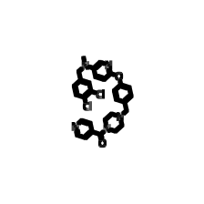 CN(Cc1ccc(Cl)c(Cl)c1)c1ccc(Oc2ccc(CN3CCN(C(=O)c4ccncc4)CC3)cc2)nc1